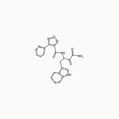 NC(=O)C(=O)C(Cc1c[nH]c2ccccc12)NC(=O)c1conc1-c1ccccn1